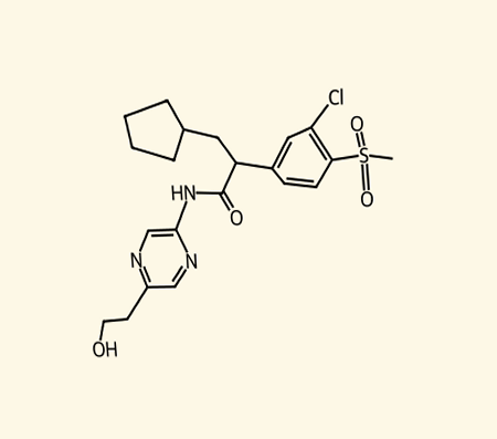 CS(=O)(=O)c1ccc(C(CC2CCCC2)C(=O)Nc2cnc(CCO)cn2)cc1Cl